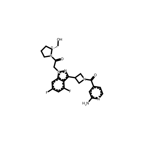 Nc1cc(C(=O)N2CC(c3nn(CC(=O)N4CCC[C@@H]4CO)c4cc(F)cc(F)c34)C2)ccn1